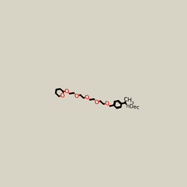 CCCCCCCCCCC(C)c1ccc(COCCOCCOCCOCCOC2CCCCO2)cc1